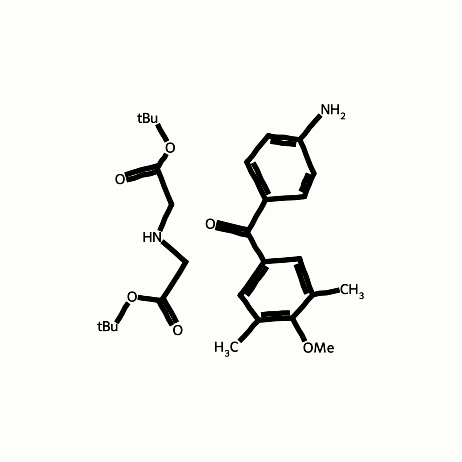 CC(C)(C)OC(=O)CNCC(=O)OC(C)(C)C.COc1c(C)cc(C(=O)c2ccc(N)cc2)cc1C